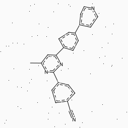 Cc1cc(-c2ccc(-c3ccncc3)cc2)nc(-c2ccc(C#N)cc2)n1